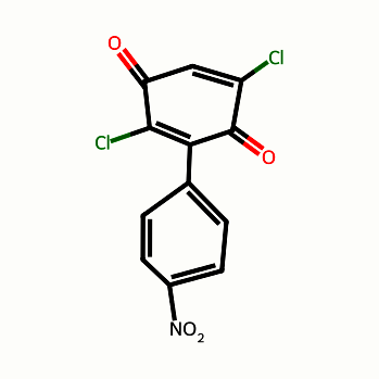 O=C1C=C(Cl)C(=O)C(c2ccc([N+](=O)[O-])cc2)=C1Cl